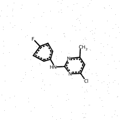 Cc1cc(Cl)nc(Nc2ccc(F)cc2)n1